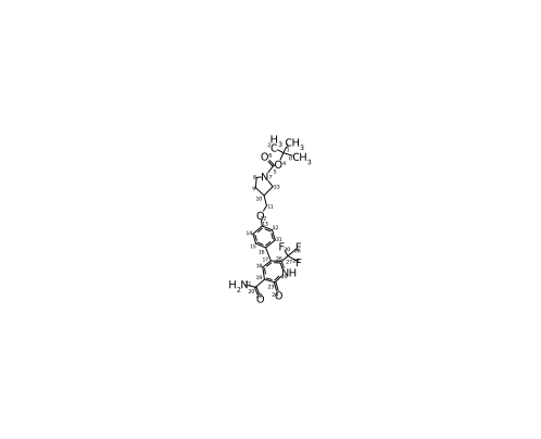 CC(C)(C)OC(=O)N1CCC(COc2ccc(-c3cc(C(N)=O)c(=O)[nH]c3C(F)(F)F)cc2)C1